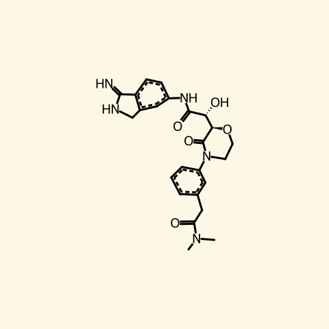 CN(C)C(=O)Cc1cccc(N2CCO[C@H]([C@@H](O)C(=O)Nc3ccc4c(c3)CNC4=N)C2=O)c1